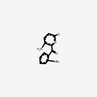 CCCCc1ccccc1C(=O)c1nc(Cl)ccc1N